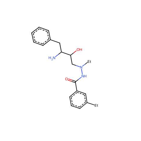 CCc1cccc(C(=O)NN(CC)CC(O)C(N)Cc2ccccc2)c1